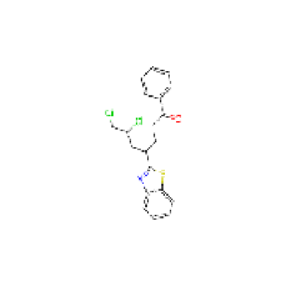 O=C(CCC(CC(Cl)CCl)c1nc2ccccc2s1)c1ccccc1